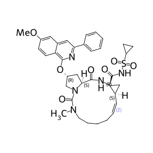 COc1ccc2c(O[C@@H]3C[C@H]4C(=O)N[C@]5(C(=O)NS(=O)(=O)C6CC6)C[C@H]5/C=C\CCCCN(C)C(=O)N4C3)nc(-c3ccccc3)cc2c1